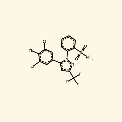 NS(=O)(=O)c1ccccc1-n1nc(C(F)(F)F)cc1-c1cc(Cl)c(Cl)c(Cl)c1